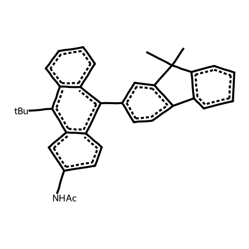 CC(=O)Nc1ccc2c(-c3ccc4c(c3)C(C)(C)c3ccccc3-4)c3ccccc3c(C(C)(C)C)c2c1